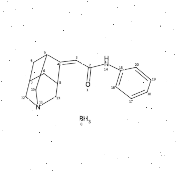 B.O=C(C=C1C2CC3CC1CN(C3)C2)Nc1ccccc1